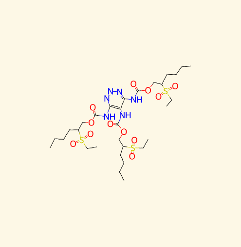 CCCCC(COC(=O)Nc1nnnc(NC(=O)OCC(CCCC)S(=O)(=O)CC)c1NC(=O)OCC(CCCC)S(=O)(=O)CC)S(=O)(=O)CC